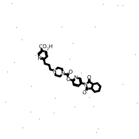 O=C(O)c1ccc(CCCN2CCN(C(=O)Oc3ccc(N4C(=O)C5CCCCC5C4=O)cn3)CC2)nc1